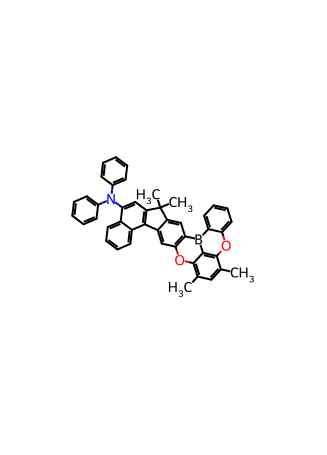 Cc1cc(C)c2c3c1Oc1ccccc1B3c1cc3c(cc1O2)-c1c(cc(N(c2ccccc2)c2ccccc2)c2ccccc12)C3(C)C